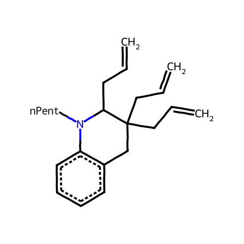 C=CCC1N(CCCCC)c2ccccc2CC1(CC=C)CC=C